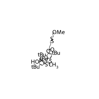 COCCSSCCCC(=O)Oc1c(C(C)(C)C)cc(SC(C)(C)Sc2cc(C(C)(C)C)c(O)c(C(C)(C)C)c2)cc1C(C)(C)C